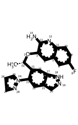 C[C@H](Oc1cc2cc(F)ccc2nc1N)c1cc2[nH]ncc2cc1-n1cccn1